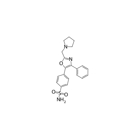 NS(=O)(=O)c1ccc(-c2oc(CN3CCCC3)nc2-c2ccccc2)cc1